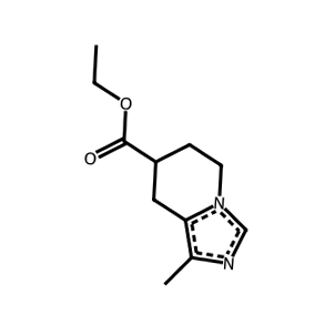 CCOC(=O)C1CCn2cnc(C)c2C1